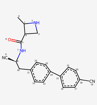 CC1NCC1C(=O)N[C@H](C#N)Cc1ccc(-c2ccc(C#N)cc2)cc1